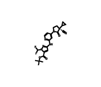 CC(C)(C)OC(=O)c1cc(Nc2cc(N3CC[C@@](C#N)(C4CC4)C3=O)ccn2)nn1C(F)F